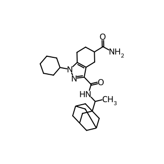 CC(NC(=O)c1nn(C2CCCCC2)c2c1CC(C(N)=O)CC2)C12CC3CC(CC(C3)C1)C2